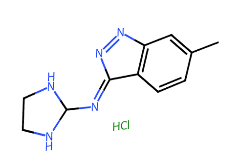 Cc1ccc2c(c1)N=NC2=NC1NCCN1.Cl